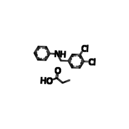 CCC(=O)O.Clc1ccc(CNc2ccccc2)cc1Cl